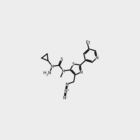 CCc1cncc(-c2nc(CN=[N+]=[N-])c(N(C)C(=S)N(N)C3CC3)s2)c1